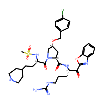 CS(=O)(=O)N[C@H](CCC1CCNCC1)C(=O)N1C[C@H](OCc2ccc(Cl)cc2)C[C@H]1C(=O)N[C@@H](CCCNC(=N)N)C(=O)c1nc2ccccc2o1